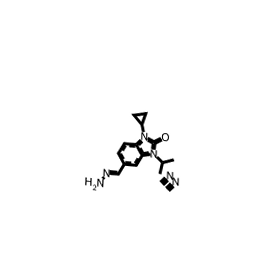 C#N.C#N.CC(C)n1c(=O)n(C2CC2)c2ccc(C=NN)cc21